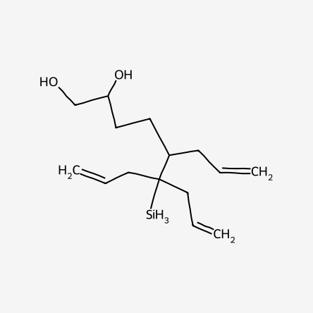 C=CCC(CCC(O)CO)C([SiH3])(CC=C)CC=C